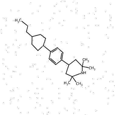 CCCC1CCC(c2ccc(C3CC(C)(C)NC(C)(C)C3)cc2)CC1